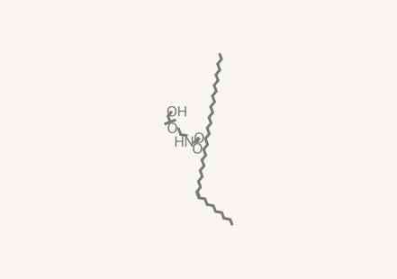 CCCCCCCC/C=C\CCCCCCCC(CCCCCCCCCCCCCCCCCC)OC(=O)NCCCOC(C)(C)CO